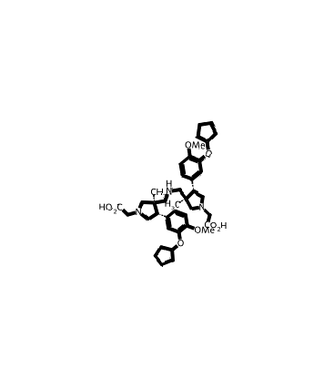 COc1ccc([C@@H]2CN(CC(=O)O)C[C@@]2(C)CNC[C@]2(C)CN(CC(=O)O)C[C@H]2c2ccc(OC)c(OC3CCCC3)c2)cc1OC1CCCC1